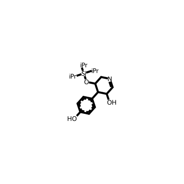 CC(C)[Si](OC1CN=CC(O)C1c1ccc(O)cc1)(C(C)C)C(C)C